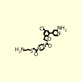 NCCSCC(=O)N1CCN(C(=O)[C@H]2Cc3cc(Cl)cc(-c4ccnc(N)c4)c3O2)CC1